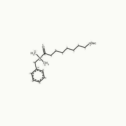 CCCCCCCCCCCCCCCCCC(=O)[N+](C)(C)Cc1ccccc1